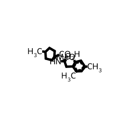 COc1cc(C)cc(C)c1CC(=O)NC1(C(=O)O)CCC(C)CC1